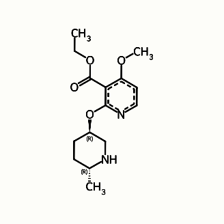 CCOC(=O)c1c(OC)ccnc1O[C@@H]1CC[C@@H](C)NC1